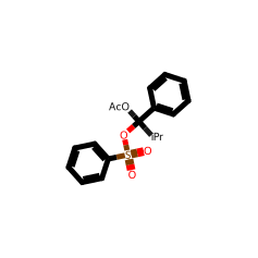 CC(=O)OC(OS(=O)(=O)c1ccccc1)(c1ccccc1)C(C)C